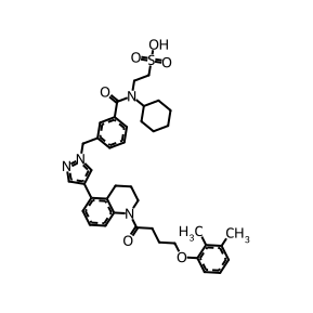 Cc1cccc(OCCCC(=O)N2CCCc3c(-c4cnn(Cc5cccc(C(=O)N(CCS(=O)(=O)O)C6CCCCC6)c5)c4)cccc32)c1C